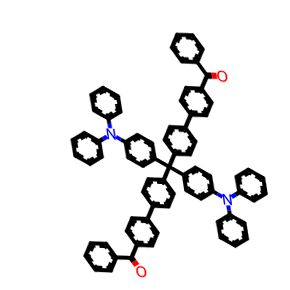 O=C(c1ccccc1)c1ccc(-c2ccc(C(c3ccc(-c4ccc(C(=O)c5ccccc5)cc4)cc3)(c3ccc(N(c4ccccc4)c4ccccc4)cc3)c3ccc(N(c4ccccc4)c4ccccc4)cc3)cc2)cc1